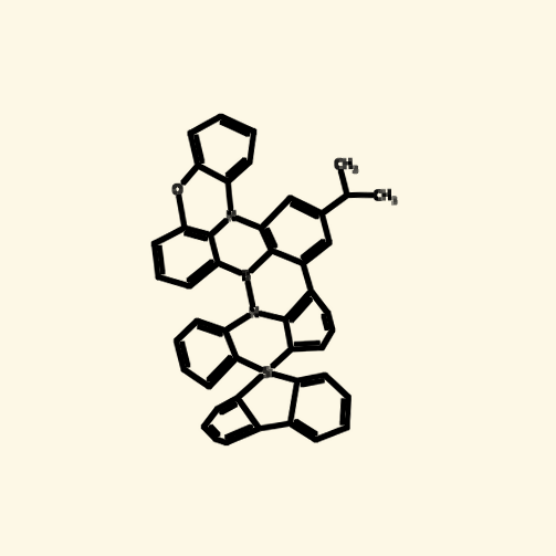 CC(C)c1cc2c3c(c1)N1c4ccccc4Oc4cccc(c41)B3N1c3ccccc3[Si]3(c4ccccc4-c4ccccc43)c3cccc-2c31